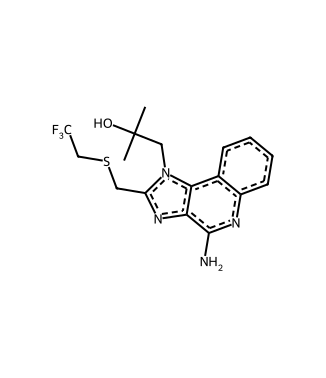 CC(C)(O)Cn1c(CSCC(F)(F)F)nc2c(N)nc3ccccc3c21